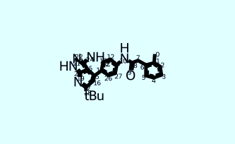 Cc1ccccc1CC(=O)Nc1ccc(-c2cc(C(C)(C)C)nc3[nH]nc(N)c23)cc1